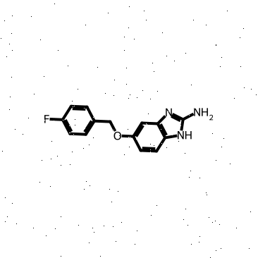 Nc1nc2cc(OCc3ccc(F)cc3)ccc2[nH]1